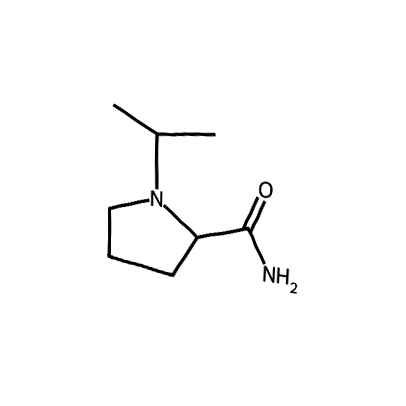 CC(C)N1CCCC1C(N)=O